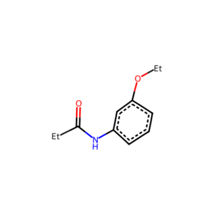 CCOc1cccc(NC(=O)CC)c1